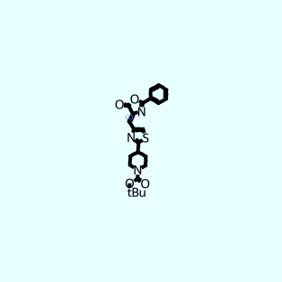 CC(C)(C)OC(=O)N1CCC(c2nc(/C=C3\N=C(c4ccccc4)OC3=O)cs2)CC1